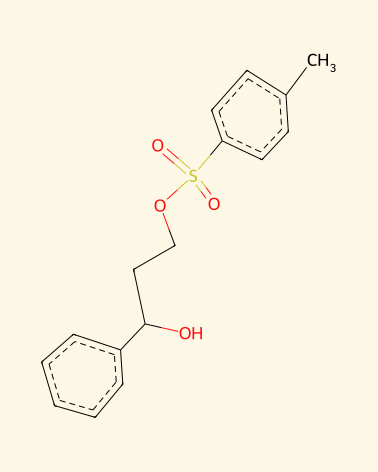 Cc1ccc(S(=O)(=O)OCCC(O)c2ccccc2)cc1